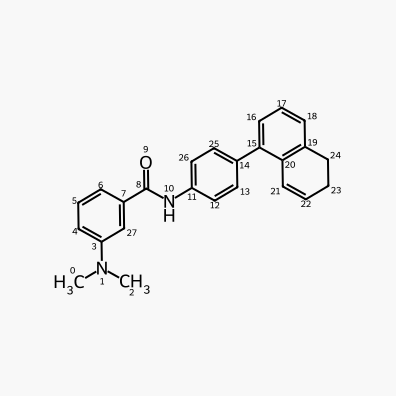 CN(C)c1cccc(C(=O)Nc2ccc(-c3cccc4c3C=CCC4)cc2)c1